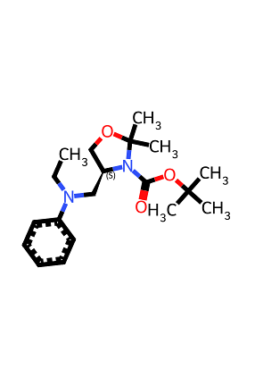 CCN(C[C@H]1COC(C)(C)N1C(=O)OC(C)(C)C)c1ccccc1